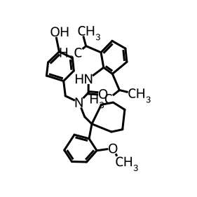 COc1ccccc1C1(CN(Cc2ccc(O)cc2)C(=O)Nc2c(C(C)C)cccc2C(C)C)CCCCC1